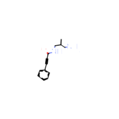 CC(CN)CNC(=O)C#Cc1ccccc1